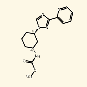 CC(C)(C)OC(=O)N[C@@H]1CCC[C@@H](n2cnc(-c3ccccn3)n2)C1